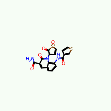 NC(=O)c1cc2cccc(NC(=O)c3ccsc3)c2n(C2C=C[S+]([O-])C2=O)c1=O